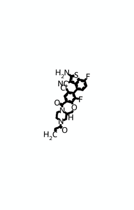 C=CC(=O)N1CCN2C(=O)c3cc(Cl)c(-c4ccc(F)c5sc(N)c(C#N)c45)c(F)c3OC[C@H]2C1